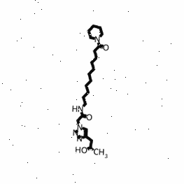 C[C@@H](O)Cc1cn(CC(=O)NCCCCCCCCCCC(=O)N2CCCCC2)nn1